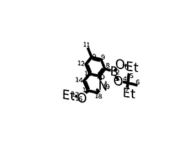 CCOB(OC(C)(C)CC)c1cc(C)cc2cc(OCC)cnc12